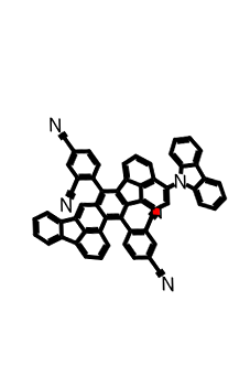 N#Cc1ccc(-c2c3cc4c5ccccc5c5cccc(c3c(-c3ccc(C#N)cc3C#N)c3c6ccc(-n7c8ccccc8c8ccccc87)c7cccc(c23)c76)c54)c(C#N)c1